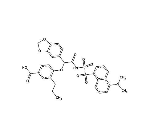 CCCc1cc(C(=O)O)ccc1OC(C(=O)NS(=O)(=O)S(=O)(=O)c1cccc2c(N(C)C)cccc12)c1ccc2c(c1)OCO2